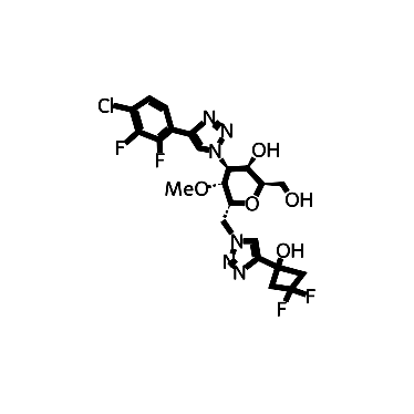 CO[C@@H]1[C@@H](n2cc(-c3ccc(Cl)c(F)c3F)nn2)[C@@H](O)[C@@H](CO)O[C@@H]1Cn1cc(C2(O)CC(F)(F)C2)nn1